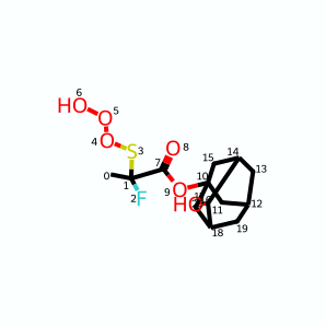 CC(F)(SOOO)C(=O)OC12CC3CC(C1)C(O)C(C3)C2